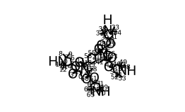 CC(C(=O)OC1CC(C)(C)NC(C)(C)C1)N(C(=O)C1CCC(C(=O)N(C(C)C(=O)OC2CC(C)(C)NC(C)(C)C2)C(C)C(=O)OC2CC(C)(C)NC(C)(C)C2)CC1)C(C)C(=O)OC1CC(C)(C)NC(C)(C)C1